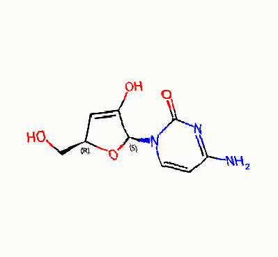 Nc1ccn([C@H]2O[C@@H](CO)C=C2O)c(=O)n1